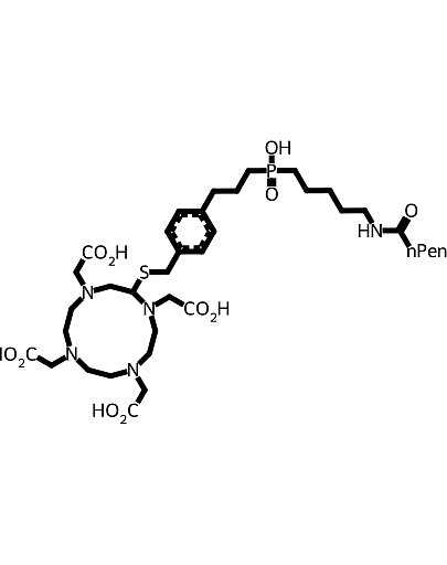 CCCCCC(=O)NCCCCCP(=O)(O)CCCc1ccc(CSC2CN(CC(=O)O)CCN(CC(=O)O)CCN(CC(=O)O)CCN2CC(=O)O)cc1